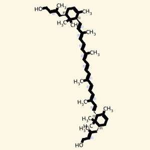 CC1=CC[C@H](C/C(C)=C/CO)C(C)(C)[C@@H]1/C=C/C(C)=C/C=C/C(C)=C/C=C/C=C(C)/C=C/C=C(C)/C=C/[C@@H]1C(C)=CC[C@H](C/C(C)=C/CO)C1(C)C